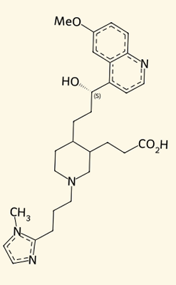 COc1ccc2nccc([C@@H](O)CCC3CCN(CCCc4nccn4C)CC3CCC(=O)O)c2c1